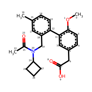 COc1ccc(CC(=O)O)cc1-c1ccc(C)cc1CN(C(C)=O)C1CCC1